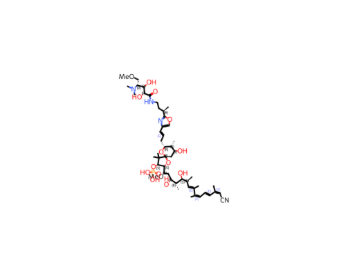 COC[C@H]([C@@H](O)[C@@H](O)C(=O)NCC[C@@H](C)c1nc(/C=C/C[C@H]2O[C@]3(C[C@H](O)[C@H]2C)O[C@@H]([C@@H](C[C@@H](O)[C@@H](C)[C@@H](O)[C@@H](C)/C=C(C)/C(C)=C\C=C\C(C)=C/C#N)OC)[C@@H](OP(=O)(O)O)C3(C)C)co1)N(C)C